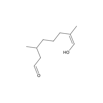 CC(=CO)CCCC(C)CC=O